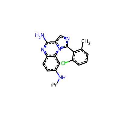 Cc1cccc(Cl)c1-c1ncc2c(N)nc3ccc(NC(C)C)cc3n12